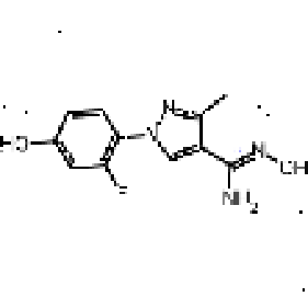 Cc1nn(-c2ccc(O)cc2F)cc1/C(N)=N/O